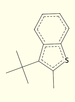 Cc1sc2ccccc2c1C(C)(C)C